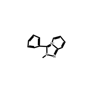 Cn1nc2cccc[n+]2c1-c1ccccc1